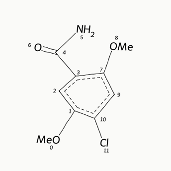 COc1cc(C(N)=O)c(OC)cc1Cl